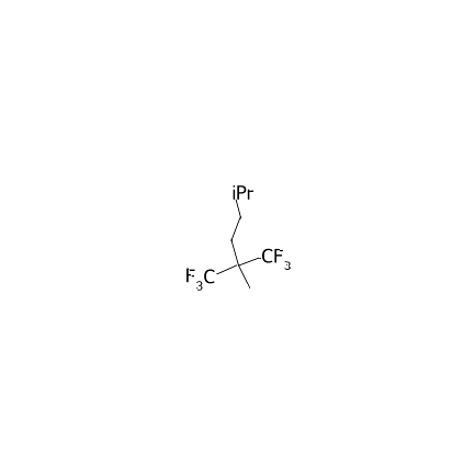 CC(C)CCC(C)(C(F)(F)F)C(F)(F)F